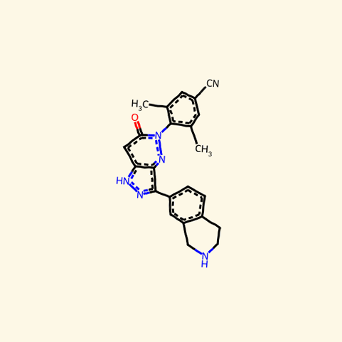 Cc1cc(C#N)cc(C)c1-n1nc2c(-c3ccc4c(c3)CNCC4)n[nH]c2cc1=O